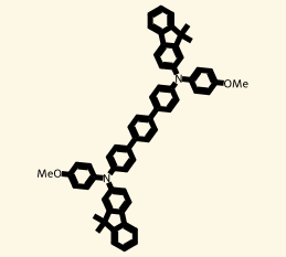 COc1ccc(N(c2ccc(-c3ccc(-c4ccc(N(c5ccc(OC)cc5)c5ccc6c(c5)C(C)(C)c5ccccc5-6)cc4)cc3)cc2)c2ccc3c(c2)C(C)(C)c2ccccc2-3)cc1